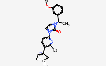 C=C/C(=C\C)c1ccc(-n2ccn(C(C)c3cccc(OCC)c3)c2=O)nc1CC